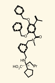 C=C(C)c1cc(C(=O)N(C)Cc2cccc(CN[C@](CC(C)C)(C(=O)O)C3CCCC3)c2)c(OCc2ccccc2)cc1OCc1ccccc1